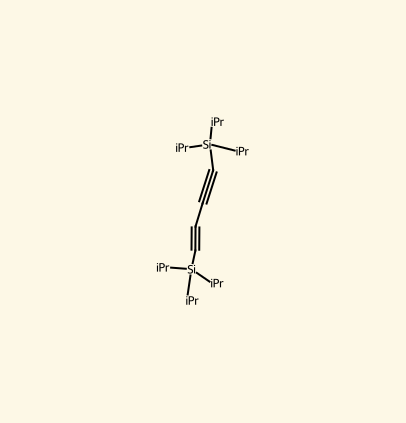 CC(C)[Si](C#CC#C[Si](C(C)C)(C(C)C)C(C)C)(C(C)C)C(C)C